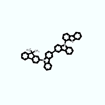 CC1(C)c2ccccc2-c2ccc(-n3c4ccccc4c4cc(-c5ccc6c(c5)c5ccccc5n6-c5cccc6c5sc5ccccc56)ccc43)cc21